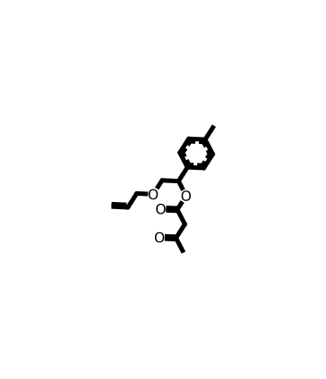 C=CCOCC(OC(=O)CC(C)=O)c1ccc(C)cc1